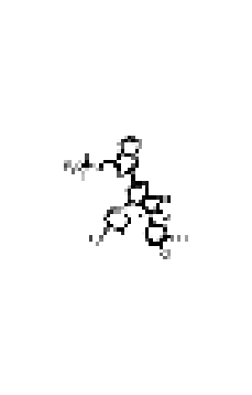 C[C@]1(c2ccc(Cl)c(O)c2)C(=O)Nc2nc(-c3cn4ncnc4c(CCC(F)(F)C(F)(F)F)n3)nc(N3CCC(C(F)(F)F)CC3)c21